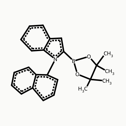 CC1(C)OB(c2cc3ccccc3n2-c2cccc3ccccc23)OC1(C)C